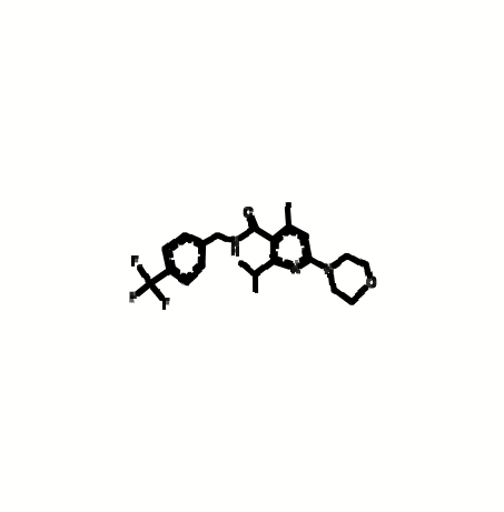 Cc1cc(N2CCOCC2)nc(C(C)C)c1C(=O)NCc1ccc(C(F)(F)F)cc1